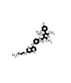 COCCOc1cnc2c(Oc3ccc(NC(=O)c4c(C)nc(C)c(-c5ccc(F)cc5C)c4O)cc3)ccnc2c1